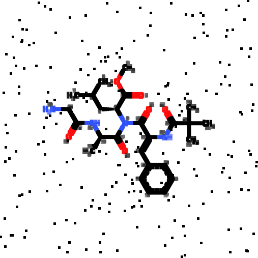 COC(=O)[C@@H](CC(C)C)N(C(=O)/C(=C/c1ccccc1)NC(=O)C(C)(C)C)C(=O)[C@@H](C)NC(=O)CN